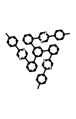 Cc1ccc(-c2cnc(-c3ccccc3-c3cc(-c4ccccc4-c4cnc(-c5ccc(C)cc5)cn4)cc(-c4ccccc4-c4cnc(-c5ccc(C)cc5)cn4)c3)cn2)cc1